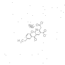 CCc1ccc2oc3nc(CC(=O)[O-])c(C(=O)[O-])cc3c(=O)c2c1.[Na+].[Na+]